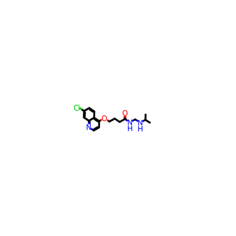 CC(C)NCNC(=O)CCCOc1ccnc2cc(Cl)ccc12